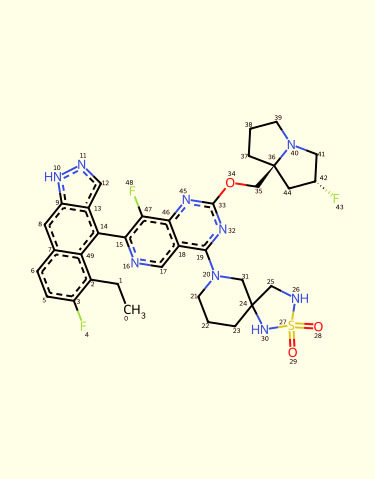 CCc1c(F)ccc2cc3[nH]ncc3c(-c3ncc4c(N5CCCC6(CNS(=O)(=O)N6)C5)nc(OC[C@@]56CCCN5C[C@H](F)C6)nc4c3F)c12